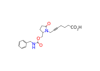 O=C(O)CCCC#CCN1C(=O)CCC1COC(=O)NCc1ccccc1